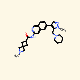 CN1CC2(CC(C(=O)Nc3cc4cc(-c5cnn(C)c5CN5CCCCC5)ccc4cn3)C2)C1